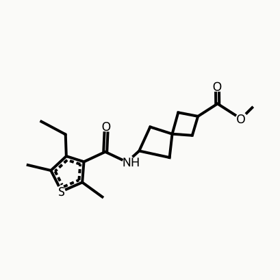 CCc1c(C)sc(C)c1C(=O)NC1CC2(C1)CC(C(=O)OC)C2